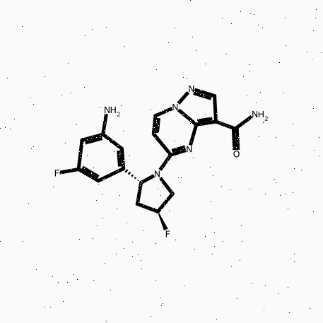 NC(=O)c1cnn2ccc(N3C[C@@H](F)C[C@@H]3c3cc(N)cc(F)c3)nc12